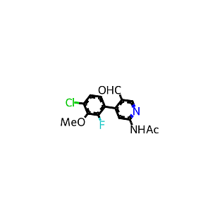 COc1c(Cl)ccc(-c2cc(NC(C)=O)ncc2C=O)c1F